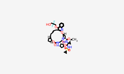 C=C[C@@H]1C[C@]1(NC(=O)[C@@H]1C[C@@H]2CN1C(=O)[C@H](C1CCCC1)NC(=O)O[C@@H]1CCC[C@H]1CC/C=C/Cc1c(nc3ccccc3c1OCC(F)(F)CO)O2)C(=O)NS(=O)(=O)C1CC1